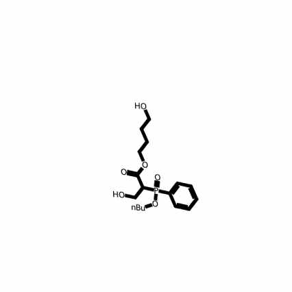 CCCCOP(=O)(c1ccccc1)C(CO)C(=O)OCCCCO